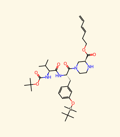 C=C/C=C/CCOC(=O)[C@@H]1CN(C(=O)[C@H](Cc2cccc(O[Si](C)(C)C(C)(C)C)c2)NC(=O)[C@@H](NC(=O)OC(C)(C)C)C(C)C)CCN1